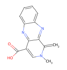 C=C1c2nc3ccccc3nc2C(C(=O)O)=CN1C